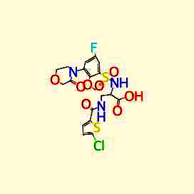 COc1c(N2CCOCC2=O)cc(F)cc1S(=O)(=O)NC(CNC(=O)c1ccc(Cl)s1)C(=O)O